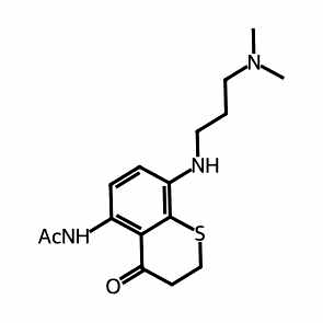 CC(=O)Nc1ccc(NCCCN(C)C)c2c1C(=O)CCS2